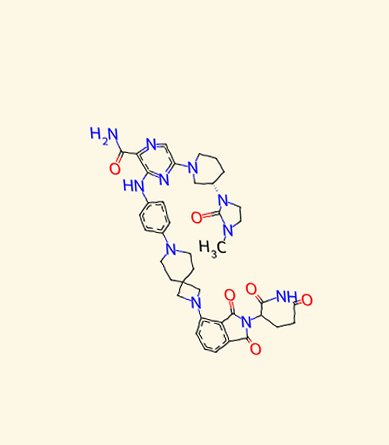 CN1CCN([C@H]2CCCN(c3cnc(C(N)=O)c(Nc4ccc(N5CCC6(CC5)CN(c5cccc7c5C(=O)N(C5CCC(=O)NC5=O)C7=O)C6)cc4)n3)C2)C1=O